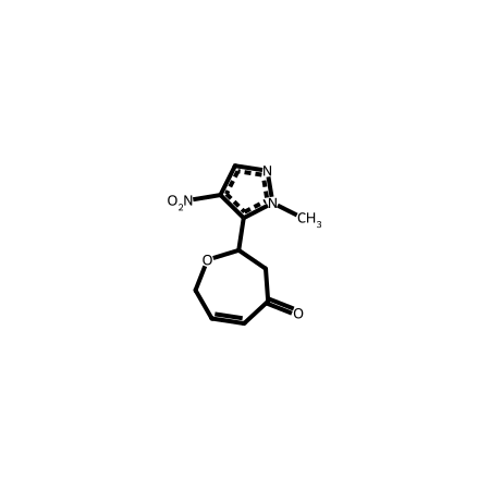 Cn1ncc([N+](=O)[O-])c1C1CC(=O)C=CCO1